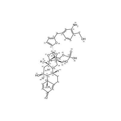 C[C@]12C=CC(=O)C=C1CC[C@@H]1[C@@H]2[C@@H](O)C[C@@]2(C)[C@H]1C[C@H]1O[C@@H](c3ccc(Cc4ccc(CO)c(N)c4)o3)O[C@]12C(=O)COP(=O)(O)O